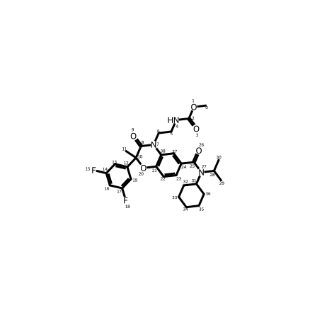 COC(=O)NCCN1C(=O)C(C)(c2cc(F)cc(F)c2)Oc2ccc(C(=O)N(C(C)C)C3CCCCC3)cc21